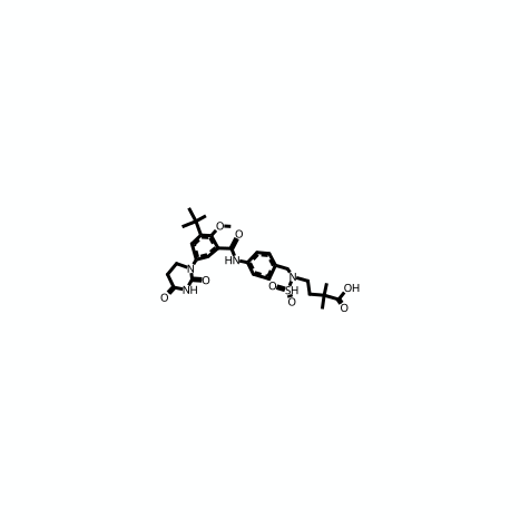 COc1c(C(=O)Nc2ccc(CN(CCC(C)(C)C(=O)O)[SH](=O)=O)cc2)cc(N2CCC(=O)NC2=O)cc1C(C)(C)C